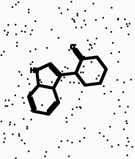 O=C1CCCCC1C1=CNC2C=CC=CC12